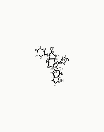 CO[C@H]1COC[C@H]1Cn1c(=O)n(C2=CCCCC2)c2ncc(-c3cnc4[nH]ccc4c3)cc21